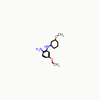 CCOc1ccc(N)c(NC2CCCC(OC)C2)c1